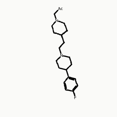 CC(=O)CN1CCC(CCN2CCC(c3ccc(F)cc3)CC2)CC1